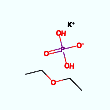 CCOCC.O=P([O-])(O)O.[K+]